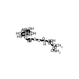 CC(=O)O[C@H](COC(N)=O)COP(=O)(O)OCCNC(=O)CCOCCOCCn1cc(COC[C@H]2O[C@H](O[C@]3(CO)O[C@H](CO)[C@@H](O)[C@@H]3O)[C@H](O)[C@@H](O)[C@@H]2O)nn1